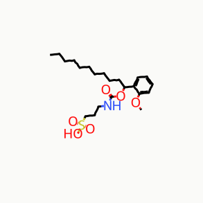 CCCCCCCCCCC(OC(=O)NCCCS(=O)(=O)O)c1ccccc1OC